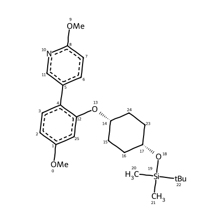 COc1ccc(-c2ccc(OC)nc2)c(O[C@H]2CC[C@@H](O[Si](C)(C)C(C)(C)C)CC2)c1